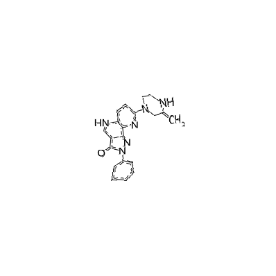 C=C1CN(c2ccc3[nH]cc4c(=O)n(-c5ccccc5)nc-4c3n2)CCN1